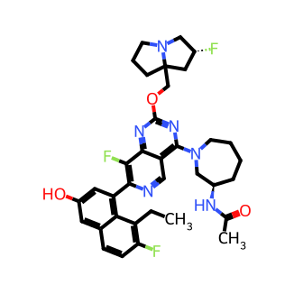 CCc1c(F)ccc2cc(O)cc(-c3ncc4c(N5CCCC[C@@H](NC(C)=O)C5)nc(OCC56CCCN5C[C@H](F)C6)nc4c3F)c12